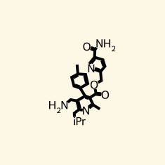 Cc1ccc(-c2c(CN)c(CC(C)C)nc(C)c2C(=O)OCc2ccc(C(N)=O)cn2)cc1